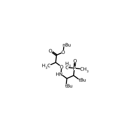 CCCCOC(=O)C(C)ONC(C(C(C)(C)C)P(C)(C)=O)C(C)(C)C